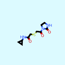 O=C(CSCC(=O)N1CCNC1=O)NC1CC1